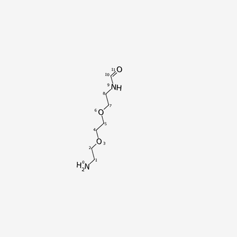 NCCOCCOCCNC=O